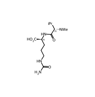 CN[C@H](C(=O)N[C@@H](CCCNC(N)=O)C(=O)O)C(C)C